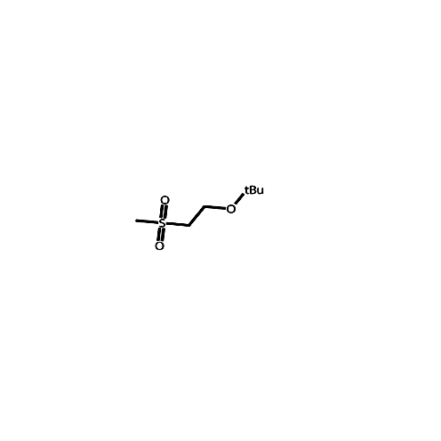 CC(C)(C)OCCS(C)(=O)=O